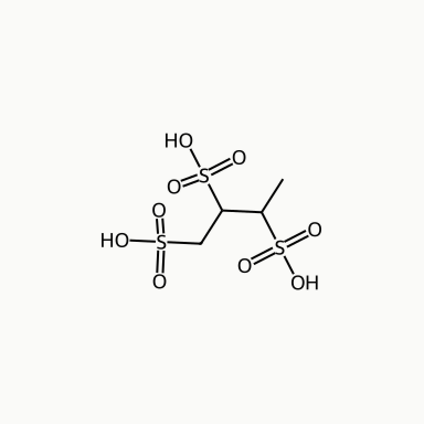 CC(C(CS(=O)(=O)O)S(=O)(=O)O)S(=O)(=O)O